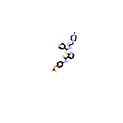 CN1CCN(CC(=O)NC(Sc2ncccc2C(=O)Nc2ccc(OC(F)F)cc2)c2ccncc2)CC1